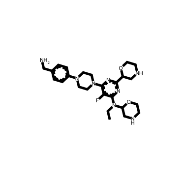 CCN(c1nc(C2CNCCO2)nc(N2CCN(c3ccc(CN)cc3)CC2)c1F)C1CNCCO1